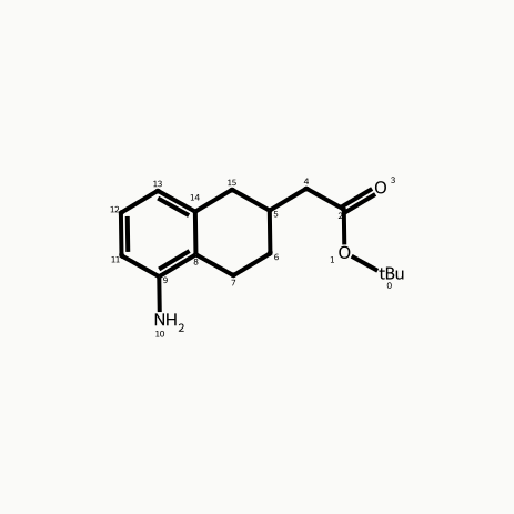 CC(C)(C)OC(=O)CC1CCc2c(N)cccc2C1